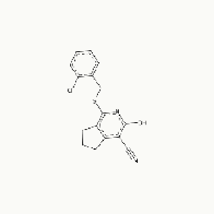 N#Cc1c(O)nc(SCc2ccccc2Cl)c2c1CCC2